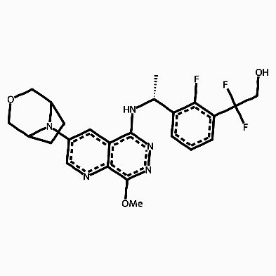 COc1nnc(N[C@H](C)c2cccc(C(F)(F)CO)c2F)c2cc(N3C4CCC3COC4)cnc12